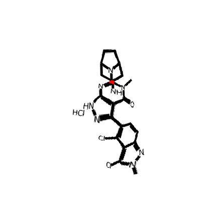 Cl.Cn1nc2ccc(-c3n[nH]c4nc(N5C6CCC5CC(N)C6)n(C)c(=O)c34)c(Cl)c2c1Cl